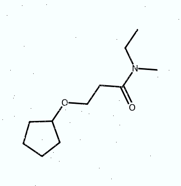 CCN(C)C(=O)CCOC1CCCC1